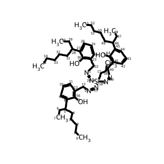 CCCCCC(CC)c1cccc(C/N=N\[Si](CCC)(/N=N\Cc2cccc(C(CC)CCCCC)c2O)/N=N\Cc2cccc(C(CC)CCCCC)c2O)c1O